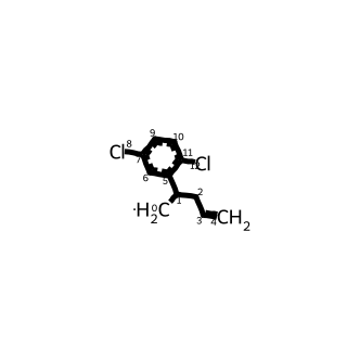 [CH2]C(CC=C)c1cc(Cl)ccc1Cl